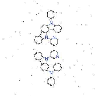 c1ccc(-n2c3ccccc3c3c2ccc2c4ccccc4n(-c4cncc(-c5ccnc(-n6c7ccccc7c7ccc8c(c9ccccc9n8-c8ccccc8)c76)c5)c4)c23)cc1